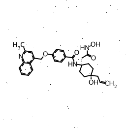 C=CC[C@]1(O)CC[C@@](CC(=O)NO)(NC(=O)c2ccc(OCc3cc(C)nc4ccccc34)cc2)CC1